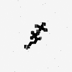 CC[N+](CC)(CC)CC.O=S(=O)([O-])C(F)CCC(F)(F)F